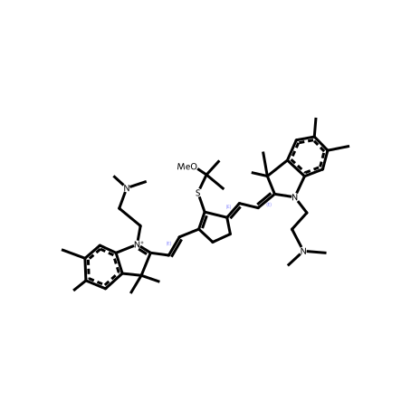 COC(C)(C)SC1=C(/C=C/C2=[N+](CCN(C)C)c3cc(C)c(C)cc3C2(C)C)CC/C1=C\C=C1\N(CCN(C)C)c2cc(C)c(C)cc2C1(C)C